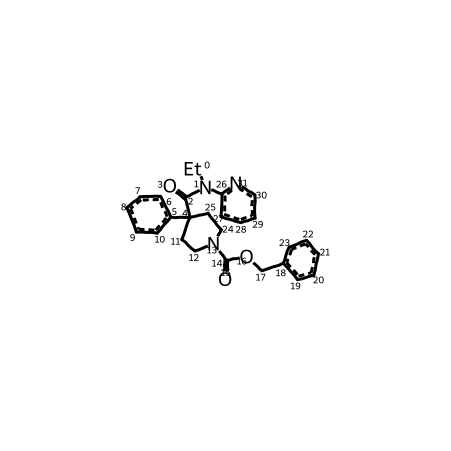 CCN(C(=O)C1(c2ccccc2)CCN(C(=O)OCc2ccccc2)CC1)c1ccccn1